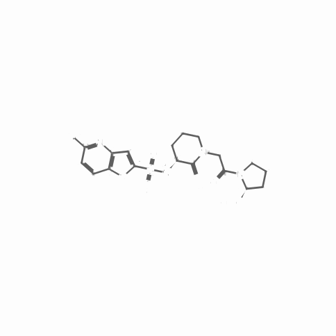 O=C[C@@H]1CCCN1C(=O)CN1CCC[C@H](NS(=O)(=O)c2cc3nc(Cl)ccc3s2)C1=O